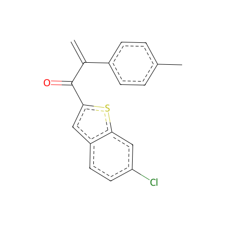 C=C(C(=O)c1cc2ccc(Cl)cc2s1)c1ccc(C)cc1